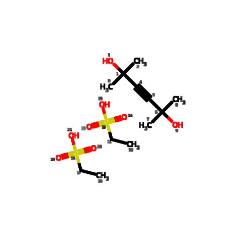 CC(C)(O)C#CC(C)(C)O.CCS(=O)(=O)O.CCS(=O)(=O)O